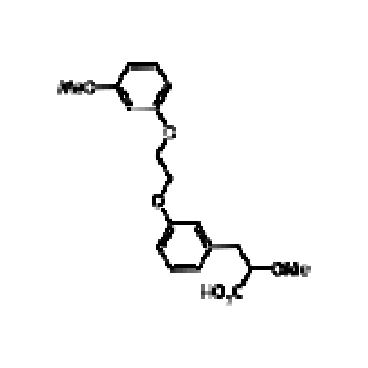 COc1cccc(OCCOc2cccc(CC(OC)C(=O)O)c2)c1